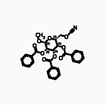 CO[C@H]1O[C@H](COC#N)[C@@H](OC(=O)c2ccccc2)[C@H](OC(=O)c2ccccc2)[C@@H]1OC(=O)c1ccccc1